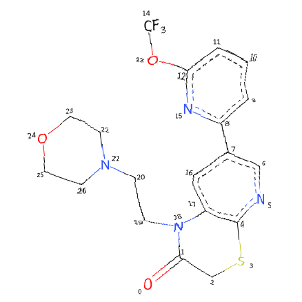 O=C1CSc2ncc(-c3cccc(OC(F)(F)F)n3)cc2N1CCN1CCOCC1